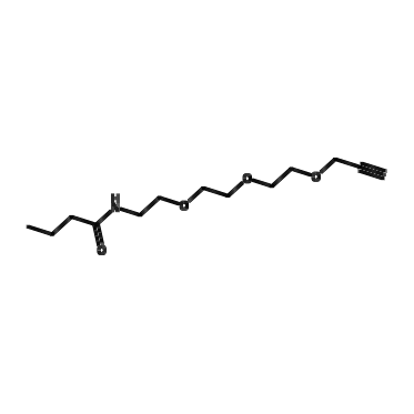 C#CCOCCOCCOCCNC(=O)CCC